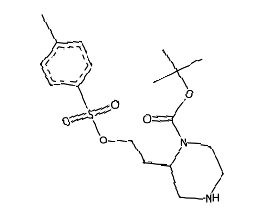 Cc1ccc(S(=O)(=O)OCCC2CNCCN2C(=O)OC(C)(C)C)cc1